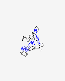 Cc1cc(N2CCCC2)nc(N2CCCC2)c1N=Nc1nc2ccccc2n1C